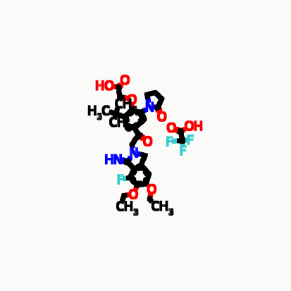 CCOc1cc2c(c(F)c1OCC)C(=N)N(CC(=O)c1cc(N3CCCC3=O)c(OCC(=O)O)c(C(C)(C)C)c1)C2.O=C(O)C(F)(F)F